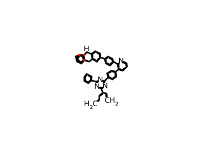 C=C/C=C(\C=C)c1nc(-c2ccccc2)nc(-c2ccc(-c3cccnc3-c3ccc(-c4ccc5c(c4)C4C6=C(C=CC6)[C@@H]5c5ccccc54)cc3)cc2)n1